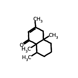 CC1=CC(=O)C2(C)C(C)CCCC2(C)C1